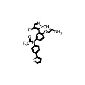 Cn1ncc(Cl)c1-c1cc(N(C(=O)C(F)(F)F)c2ccc(-c3cccs3)cc2)ccc1OCCN